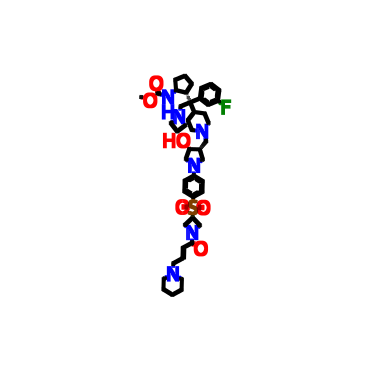 COC(=O)N[C@H]1CCC[C@@H]1C(CN1CCC1)(c1cccc(F)c1)C1CCN(C[C@H]2CN(c3ccc(S(=O)(=O)C4CN(C(=O)/C=C/CN5CCCCC5)C4)cc3)C[C@H]2O)CC1